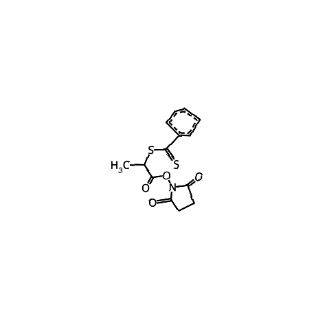 CC(SC(=S)c1ccccc1)C(=O)ON1C(=O)CCC1=O